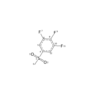 CS(=O)(=O)c1cc(F)c(F)c(F)c1